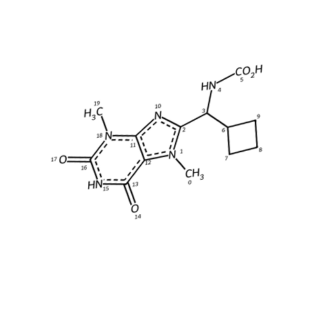 Cn1c(C(NC(=O)O)C2CCC2)nc2c1c(=O)[nH]c(=O)n2C